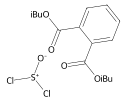 CC(C)COC(=O)c1ccccc1C(=O)OCC(C)C.[O-][S+](Cl)Cl